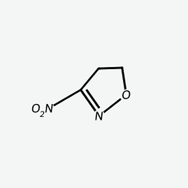 O=[N+]([O-])C1=NOCC1